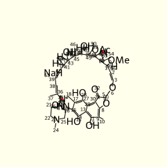 CO[C@H]1C=CO[C@@]2(C)Oc3c(C)c(O)c4c(O)c(c(C=NN5CCN(C)CC5)c(O)c4c3C2=O)NC(=O)C(C)=CC=C[C@H](C)[C@H](O)[C@@H](C)[C@@H](O)[C@@H](C)[C@H](OC(C)=O)[C@@H]1C.[NaH]